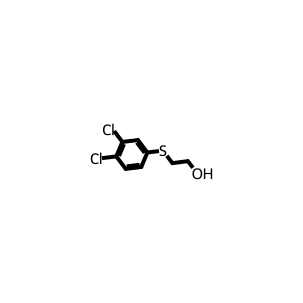 OCCSc1ccc(Cl)c(Cl)c1